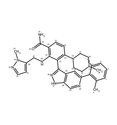 Cc1cccc(F)c1-c1cc2c(-c3c(N4CCN(C)CC4)ccc(C(N)=O)c3NCc3ccnn3C)n[nH]c2cn1